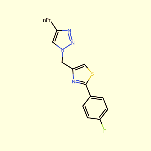 CCCc1cn(Cc2csc(-c3ccc(F)cc3)n2)nn1